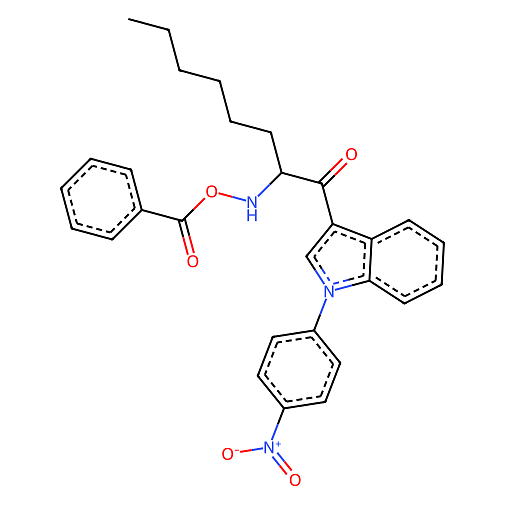 CCCCCCC(NOC(=O)c1ccccc1)C(=O)c1cn(-c2ccc([N+](=O)[O-])cc2)c2ccccc12